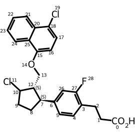 O=C(O)CCc1ccc([C@H]2CCC(Cl)[C@@H]2COc2ccc(Cl)c3ccccc23)cc1F